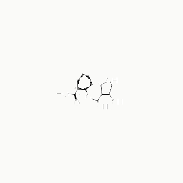 CC1CNCC1C(C)Oc1ccccc1C(=O)O